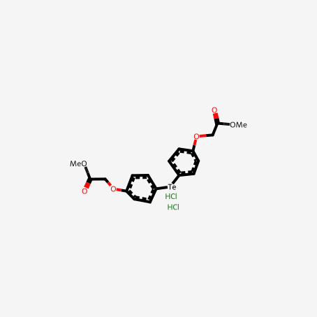 COC(=O)COc1ccc([Te]c2ccc(OCC(=O)OC)cc2)cc1.Cl.Cl